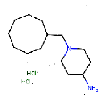 Cl.Cl.NC1CCN(CC2CCCCCCC2)CC1